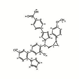 COc1ccc([C@H]2C[C@H]2CC(c2ccc(-c3cc(Cl)ccc3-n3cnnn3)c[n+]2[O-])n2cc(-c3ccc(C(=O)O)cc3)cn2)cc1